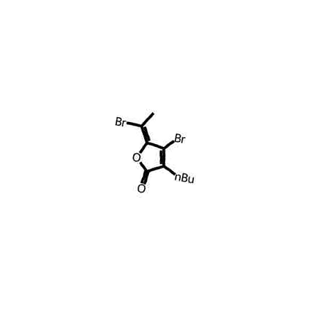 CCCCC1=C(Br)/C(=C(\C)Br)OC1=O